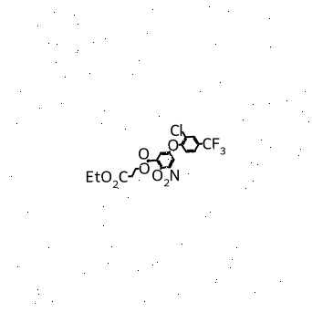 CCOC(=O)CCOC(=O)c1cc(Oc2ccc(C(F)(F)F)cc2Cl)ccc1[N+](=O)[O-]